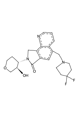 O=C1c2cc(CN3CCC(F)(F)CC3)c3cccnc3c2CN1[C@H]1CCOC[C@@H]1O